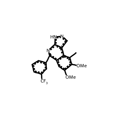 COc1cc2c(-c3cccc(C(F)(F)F)c3)nc3[nH]ncc3c2c(C)c1OC